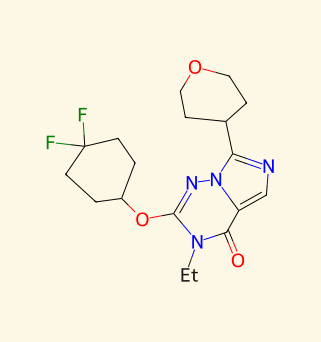 CCn1c(OC2CCC(F)(F)CC2)nn2c(C3CCOCC3)ncc2c1=O